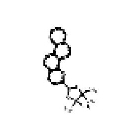 CC1(C)OB(c2ccc3ccc4c(ccc5cccnc54)c3n2)OC1(C)C